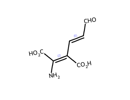 N/C(C(=O)O)=C(/C=C/C=O)C(=O)O